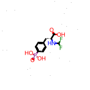 O=C(O)[C@@H](Cc1ccc(P(=O)(O)O)cc1)NC(F)F